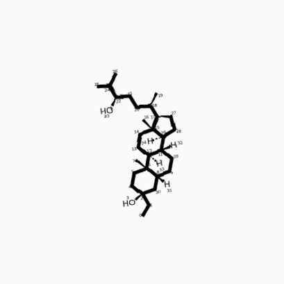 CC[C@]1(O)CC[C@@]2(C)[C@H](CC[C@@H]3[C@@H]2CC[C@]2(C)[C@@H]([C@H](C)CC[C@@H](O)C(C)C)CC[C@@H]32)C1